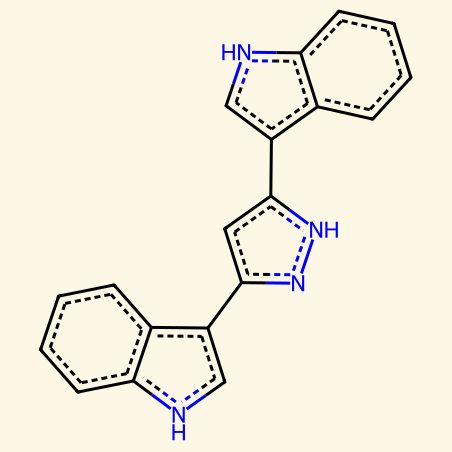 c1ccc2c(-c3cc(-c4c[nH]c5ccccc45)[nH]n3)c[nH]c2c1